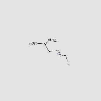 [Li][CH2]/C=C/CN(CCCCCCCCCC)CCCCCCCCCC